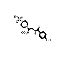 CC(C)S(=O)(=O)N1CCN(C(CNC(=O)c2ccc(O)cc2)C(=O)O)CC1